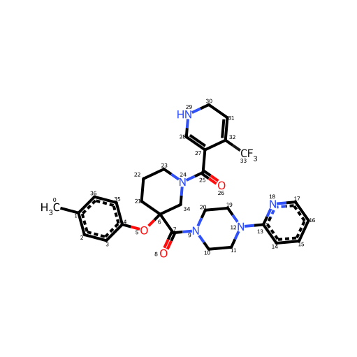 Cc1ccc(OC2(C(=O)N3CCN(c4ccccn4)CC3)CCCN(C(=O)C3=CNCC=C3C(F)(F)F)C2)cc1